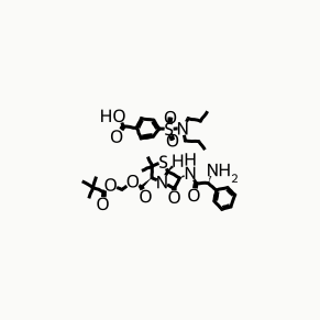 CC(C)(C)C(=O)OCOC(=O)[C@@H]1N2C(=O)[C@@H](NC(=O)[C@H](N)c3ccccc3)[C@H]2SC1(C)C.CCCN(CCC)S(=O)(=O)c1ccc(C(=O)O)cc1